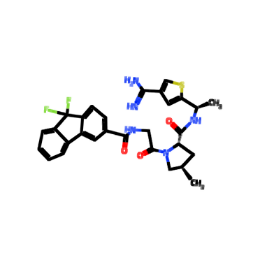 C[C@@H]1C[C@@H](C(=O)N[C@H](C)c2cc(C(=N)N)cs2)N(C(=O)CNC(=O)c2ccc3c(c2)-c2ccccc2C3(F)F)C1